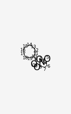 O=C(ON1C(=O)CCC1=O)C1CCCCCCCCC1